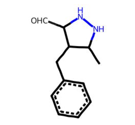 CC1NNC(C=O)C1Cc1ccccc1